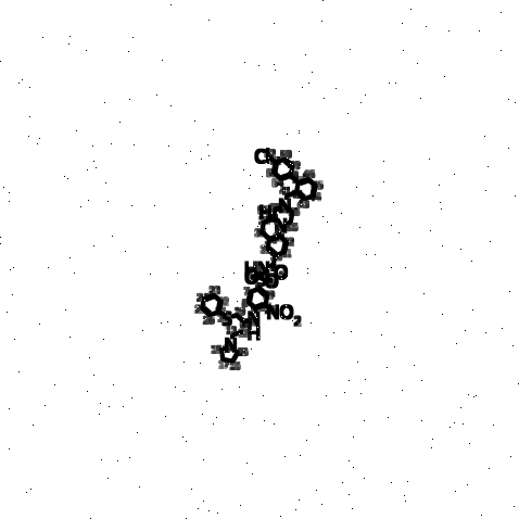 O=C(NS(=O)(=O)c1ccc(N[C@H](CCN2CCCC2)CSc2ccccc2)c([N+](=O)[O-])c1)c1ccc2c(c1)CC[C@@H]1CN(Cc3ccccc3-c3ccc(Cl)cc3)CCN21